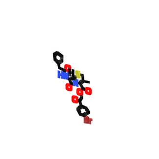 CC1=C(C(=O)OCC(=O)c2ccc(Br)cc2)N2C(=O)C(NC(=O)Cc3ccccc3)[C@H]2SC1